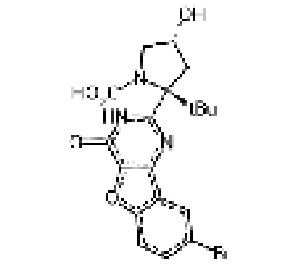 CC(C)(C)[C@]1(c2nc3c(oc4ccc(Br)cc43)c(=O)[nH]2)C[C@@H](O)CN1C(=O)O